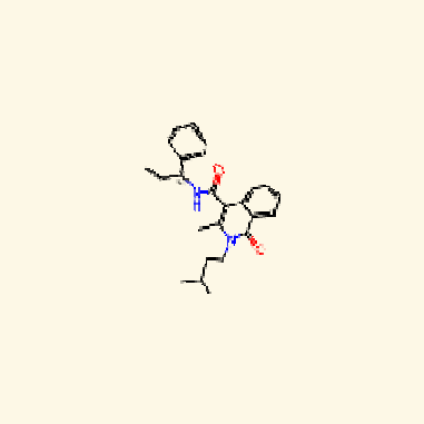 CC[C@H](NC(=O)c1c(C)n(CCC(C)C)c(=O)c2ccccc12)c1ccccc1